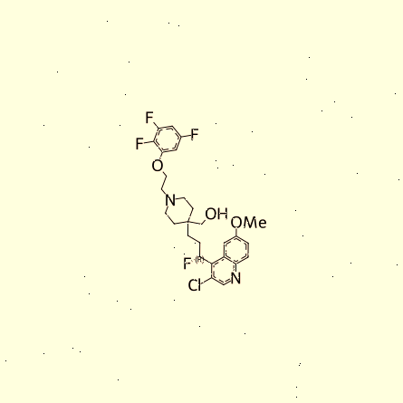 COc1ccc2ncc(Cl)c([C@H](F)CCC3(CO)CCN(CCOc4cc(F)cc(F)c4F)CC3)c2c1